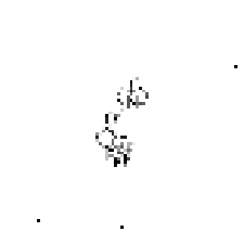 CC[C@@]12CCCN1[C@H](COc1cccc(S(F)(F)(F)(F)F)c1)CC2